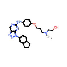 CN(CCO)CCCOc1ccc(Nc2ncc3nnn(-c4ccc5c(c4)CCC5)c3n2)cc1